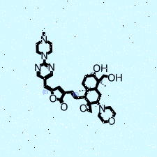 CN1CCN(c2ncc(/C=C3C=C(/C=C/C4C5(CO5)C(N5CCOCC5)CC5[C@]4(C)CC[C@@H](O)[C@@]5(C)CO)C(=O)O\3)cn2)CC1